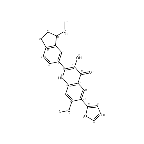 COc1cc2[nH]c(-c3ccc4c(c3)C(OC)CC4)c(O)c(=O)c2cc1-c1cnco1